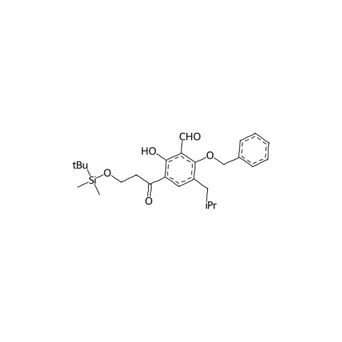 CC(C)Cc1cc(C(=O)CCO[Si](C)(C)C(C)(C)C)c(O)c(C=O)c1OCc1ccccc1